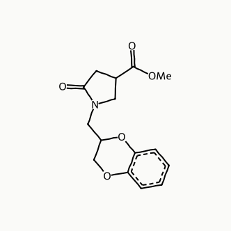 COC(=O)C1CC(=O)N(CC2COc3ccccc3O2)C1